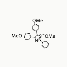 COCS1=C(c2ccc(OC)cc2)C(c2ccc(OC)cc2)=NN1c1ccccc1